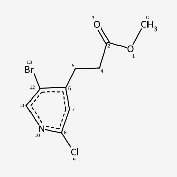 COC(=O)CCc1cc(Cl)ncc1Br